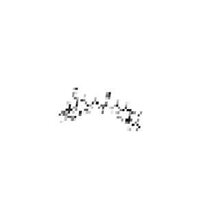 C=Cc1cc(CNC(=O)/C=C/c2ccc(C(C)(C)C)nc2)ccc1NS(C)(=O)=O